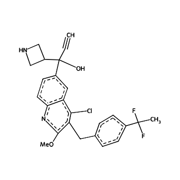 C#CC(O)(c1ccc2nc(OC)c(Cc3ccc(C(C)(F)F)cc3)c(Cl)c2c1)C1CNC1